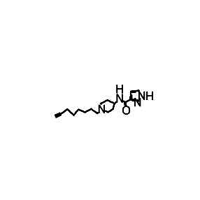 C#CCCCCCCN1CCC(NC(=O)c2cc[nH]n2)CC1